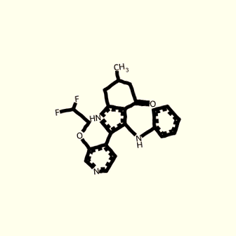 CC1CC(=O)c2c([nH]c(-c3ccncc3OCC(F)F)c2Nc2ccccc2)C1